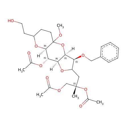 COC12CCC(CCO)O[C@@H]1[C@@H](OC(C)=O)[C@@H]1OC(C[C@@](C)(COC(C)=O)OC(C)=O)[C@H](OCc3ccccc3)[C@@H]1O2